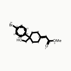 COC(=O)C=C1CCC(CO)(c2ccc(Br)cc2)CC1